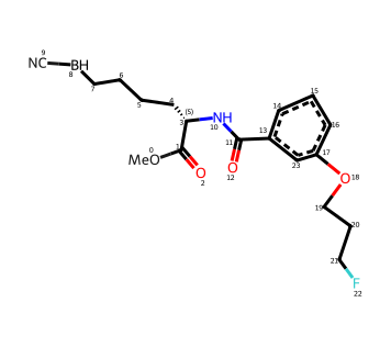 COC(=O)[C@H](CCCCBC#N)NC(=O)c1cccc(OCCCF)c1